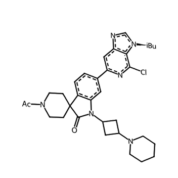 CC[C@H](C)n1cnc2cc(-c3ccc4c(c3)N(C3CC(N5CCCCC5)C3)C(=O)C43CCN(C(C)=O)CC3)nc(Cl)c21